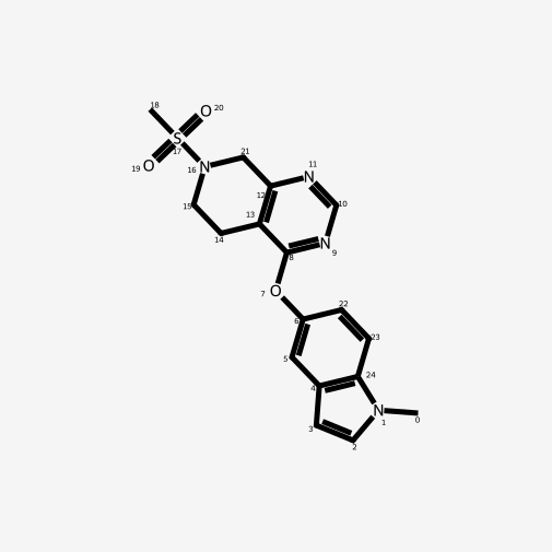 Cn1ccc2cc(Oc3ncnc4c3CCN(S(C)(=O)=O)C4)ccc21